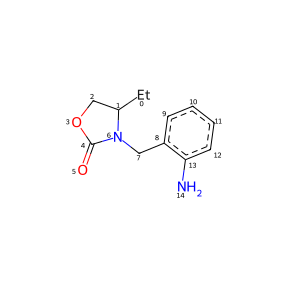 CCC1COC(=O)N1Cc1ccccc1N